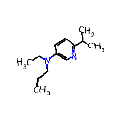 CCCN(CC)c1ccc(C(C)C)nc1